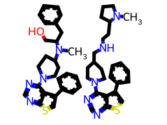 CN(C1CCN(c2ncnc3scc(-c4ccccc4)c23)CC1)C(CO)Cc1ccccc1.CN1CCCC1CCNCC1CCN(c2ncnc3scc(-c4ccccc4)c23)CC1